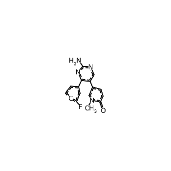 Cn1cc(-c2cnc(N)nc2-c2cccc(F)c2)ccc1=O